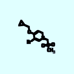 CS(=O)(=O)CN1C=C(Br)C(OCC2CC2)=CC1